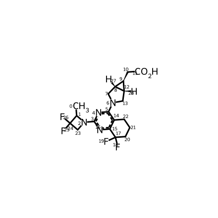 CC1N(c2nc(N3C[C@@H]4[C@@H](CC(=O)O)[C@@H]4C3)c3c(n2)C(F)(F)CCC3)CC1(F)F